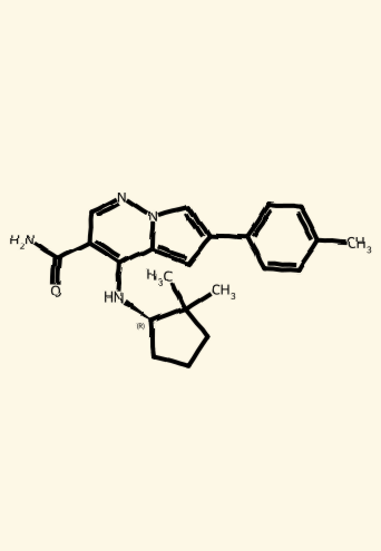 Cc1ccc(-c2cc3c(N[C@@H]4CCCC4(C)C)c(C(N)=O)cnn3c2)cc1